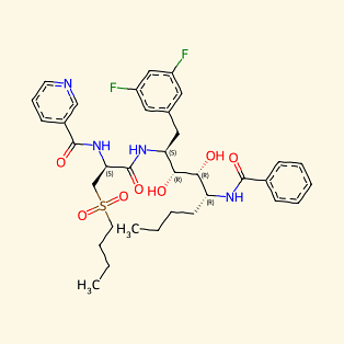 CCCC[C@@H](NC(=O)c1ccccc1)[C@@H](O)[C@H](O)[C@H](Cc1cc(F)cc(F)c1)NC(=O)[C@@H](CS(=O)(=O)CCCC)NC(=O)c1cccnc1